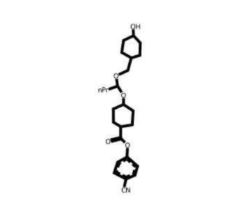 CCCC(OCC1CCC(O)CC1)OC1CCC(C(=O)Oc2ccc(C#N)cc2)CC1